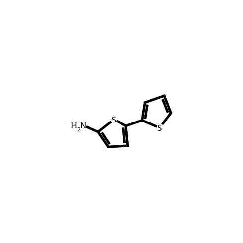 Nc1ccc(-c2cccs2)s1